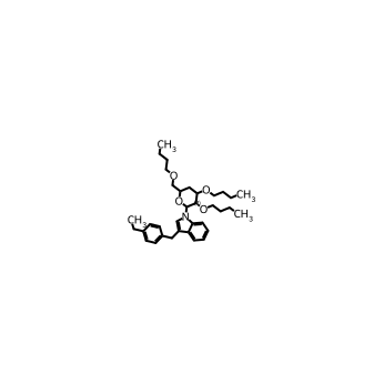 CCCCOCC1CC(OCCCC)[C@@H](OCCCC)C(n2cc(Cc3ccc(CC)cc3)c3ccccc32)O1